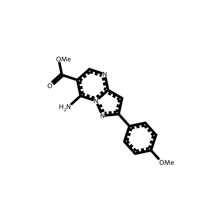 COC(=O)c1cnc2cc(-c3ccc(OC)cc3)nn2c1N